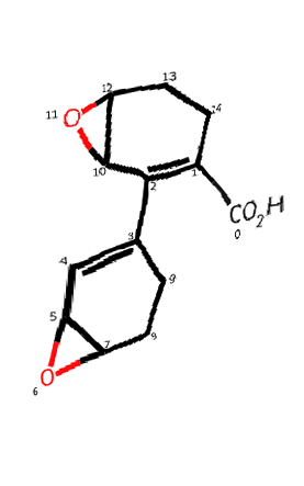 O=C(O)C1=C(C2=CC3OC3CC2)C2OC2CC1